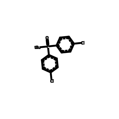 CC(C)(C)P(=O)(c1ccc(Cl)cc1)c1ccc(Cl)cc1